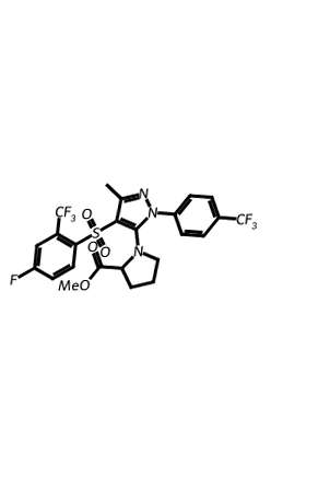 COC(=O)C1CCCN1c1c(S(=O)(=O)c2ccc(F)cc2C(F)(F)F)c(C)nn1-c1ccc(C(F)(F)F)cc1